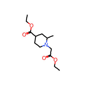 CCOC(=O)CN1CCC(C(=O)OCC)CC1C